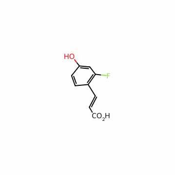 O=C(O)/C=C/c1ccc(O)cc1F